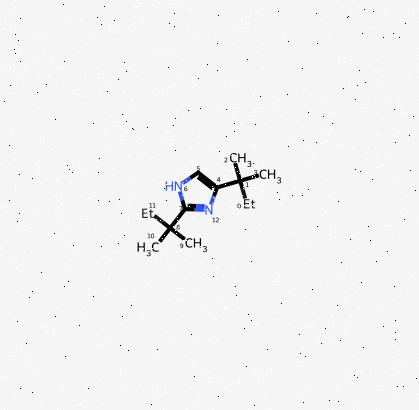 CCC(C)(C)c1c[nH]c(C(C)(C)CC)n1